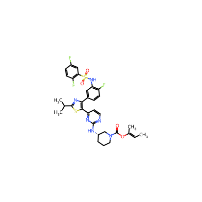 C/C=C(\C)OC(=O)N1CCC[C@H](Nc2nccc(-c3sc(C(C)C)nc3-c3ccc(F)c(NS(=O)(=O)c4cc(F)ccc4F)c3)n2)C1